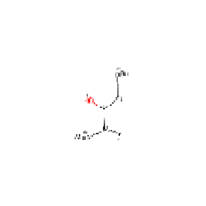 CCCCCC(O)C(C)NC